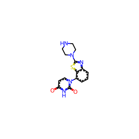 O=c1ccn(-c2cccc3nc(N4CCNCC4)sc23)c(=O)[nH]1